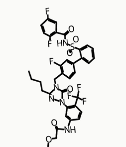 CCCCc1nn(-c2cc(NC(=O)COCC)ccc2C(F)(F)F)c(=O)n1Cc1ccc(-c2ccccc2S(=O)(=O)NC(=O)c2cc(F)ccc2F)cc1F